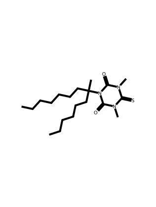 CCCCCCCC(C)(CCCCCC)n1c(=O)n(C)c(=S)n(C)c1=O